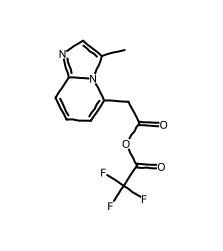 Cc1cnc2cccc(CC(=O)OC(=O)C(F)(F)F)n12